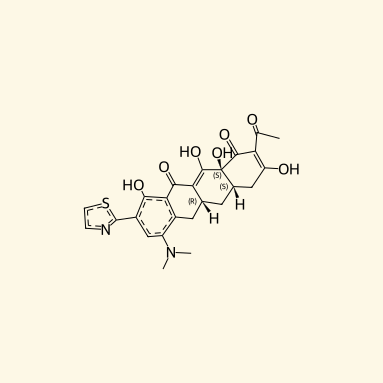 CC(=O)C1=C(O)C[C@@H]2C[C@@H]3Cc4c(N(C)C)cc(-c5nccs5)c(O)c4C(=O)C3=C(O)[C@]2(O)C1=O